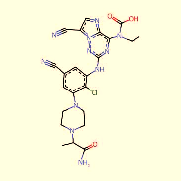 CCN(C(=O)O)c1nc(Nc2cc(C#N)cc(N3CCN(C(C)C(N)=O)CC3)c2Cl)nn2c(C#N)cnc12